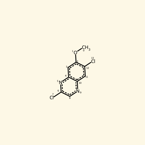 COc1cc2nc(Cl)cnc2cc1Cl